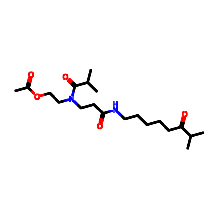 CC(=O)OCCN(CCC(=O)NCCCCCC(=O)C(C)C)C(=O)C(C)C